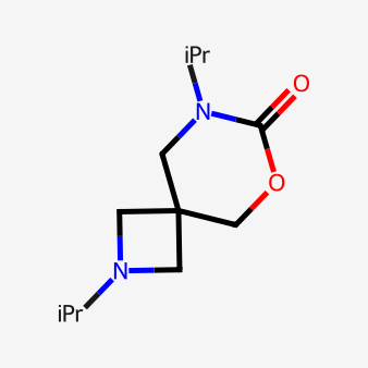 CC(C)N1CC2(COC(=O)N(C(C)C)C2)C1